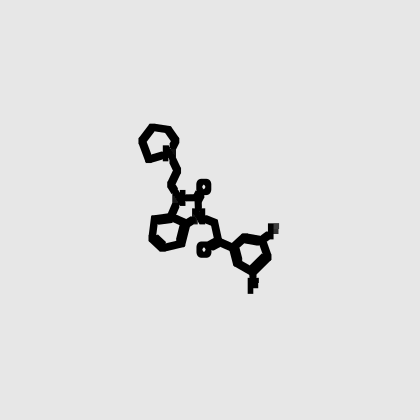 O=C(Cn1c(=O)n(CCN2CCCCC2)c2ccccc21)c1cc(F)cc(F)c1